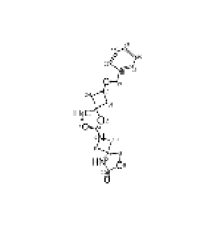 CC1(OC(=O)N2CC3(COC(=O)N3)C2)CC(OCc2ccccc2)C1